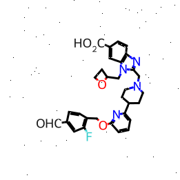 O=Cc1ccc(COc2cccc(C3CCN(Cc4nc5ccc(C(=O)O)cc5n4CC4CCO4)CC3)n2)c(F)c1